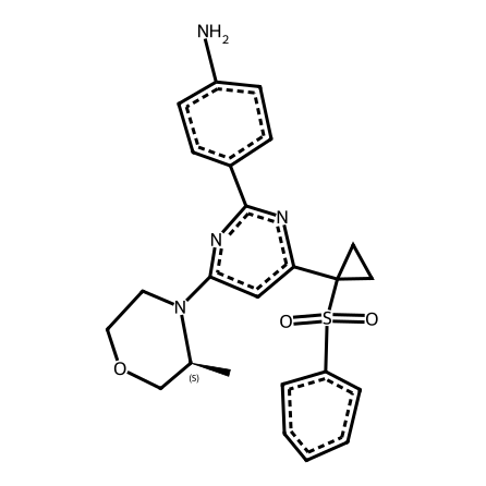 C[C@H]1COCCN1c1cc(C2(S(=O)(=O)c3ccccc3)CC2)nc(-c2ccc(N)cc2)n1